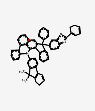 CC1(C)C2=C(C=CCC2)c2ccc(N(c3ccccc3-c3ccccc3)c3cccc4c3-c3ccccc3C4(c3ccccc3)c3ccc4oc(C5=CC=CCC5)nc4c3)cc21